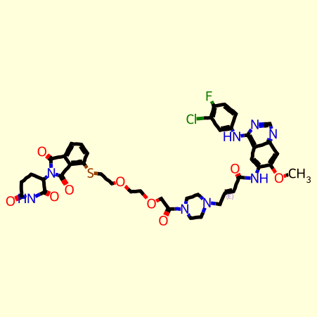 COc1cc2ncnc(Nc3ccc(F)c(Cl)c3)c2cc1NC(=O)/C=C/CN1CCN(C(=O)COCCOCCSc2cccc3c2C(=O)N(C2CCC(=O)NC2=O)C3=O)CC1